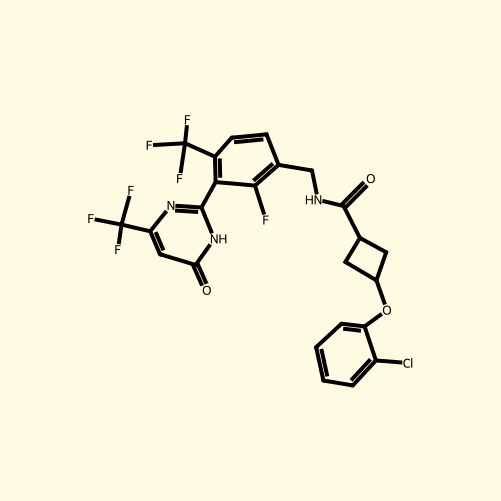 O=C(NCc1ccc(C(F)(F)F)c(-c2nc(C(F)(F)F)cc(=O)[nH]2)c1F)C1CC(Oc2ccccc2Cl)C1